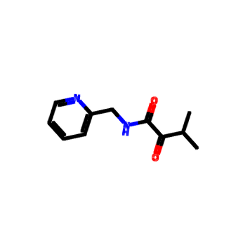 CC(C)C(=O)C(=O)NCc1ccccn1